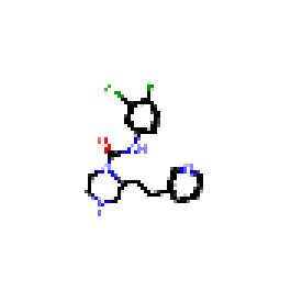 O=C(Nc1ccc(Cl)c(Cl)c1)N1CCNCC1CCc1cccnc1